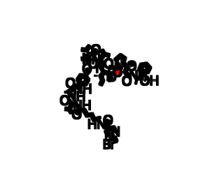 CC[C@H](C)[C@@H]([C@@H](CC(=O)N1CCC[C@H]1[C@H](OC)[C@@H](C)C(=O)N[C@H](C)[C@@H](O)c1ccccc1)OC)N(C)C(=O)[C@@H](NC(=O)[C@H](C(C)C)N(C)C(=O)OCc1ccc(NC(=O)[C@H](C)NC(=O)[C@@H](NC(=O)CCCCCNC(=O)c2cnc(CBr)nc2)C(C)C)cc1)C(C)C